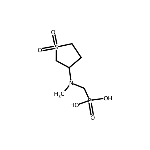 CN(CP(=O)(O)O)C1CCS(=O)(=O)C1